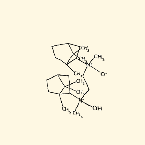 CC1(C)C2CCC1(C)C([N+](C)([O-])CC[N+](C)(O)C1CC3CCC1(C)C3(C)C)C2